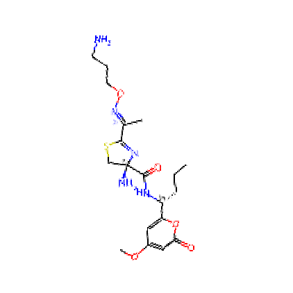 CCC[C@@H](NC(=O)[C@]1(N)CSC(/C(C)=N/OCCCN)=N1)c1cc(OC)cc(=O)o1